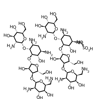 NC[C@@H]1O[C@H](O[C@H]2[C@@H](O)[C@H](O[C@@H]3[C@@H](O)[C@H](N)C[C@H](N)[C@H]3O[C@H]3O[C@H](CO)[C@@H](O)[C@H](O)[C@H]3N)O[C@@H]2CO)[C@H](N)[C@@H](O)[C@@H]1O.NC[C@@H]1O[C@H](O[C@H]2[C@@H](O)[C@H](O[C@@H]3[C@@H](O)[C@H](N)C[C@H](N)[C@H]3O[C@H]3O[C@H](CO)[C@@H](O)[C@H](O)[C@H]3N)O[C@@H]2CO)[C@H](N)[C@@H](O)[C@@H]1O.O=S(=O)(O)O